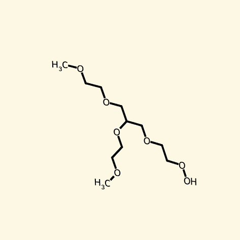 COCCOCC(COCCOO)OCCOC